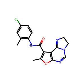 Cc1cc(Cl)ccc1NC(=O)c1c(C)oc2c1C1=NCCN1C=N2